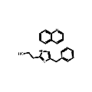 OCCc1nc(Cc2ccccc2)c[nH]1.c1ccc2ncccc2c1